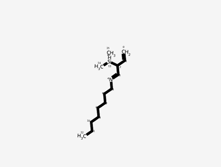 C=CC(C=NCCCCCCCC)[SiH](C)C